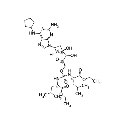 CCOC(=O)[C@H](CC(C)C)NP(=O)(N[C@@H](CC(C)C)C(=O)OCC)OC[C@H]1O[C@H]2C(n3cnc4c(NC5CCCC5)nc(N)nc43)C[C@]2(O)C1O